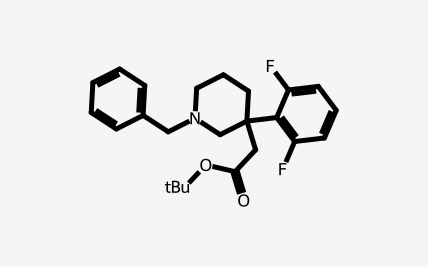 CC(C)(C)OC(=O)CC1(c2c(F)cccc2F)CCCN(Cc2ccccc2)C1